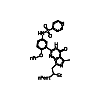 CCCCCC(CC)Cc1nc(C)c2c(=O)[nH]c(-c3cc(NS(=O)(=O)c4ccncc4)ccc3OCCC)nn12